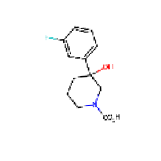 O=C(O)N1CCCC(O)(c2cccc(F)c2)C1